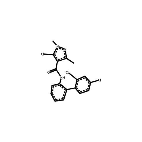 Cc1nn(C)c(Cl)c1C(=O)Nc1ccccc1-c1ccc(Cl)cc1Cl